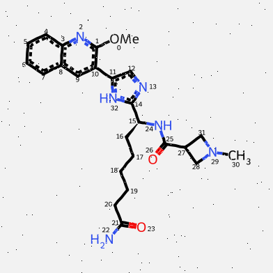 COc1nc2ccccc2cc1-c1cnc([C@H](CCCCCC(N)=O)NC(=O)C2CN(C)C2)[nH]1